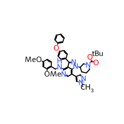 COc1ccc(CNc2ncc(-c3cnn(C)c3)c3c2c(-c2ccc(Oc4ccccc4)cc2)nn3C2CCCN(C(=O)OC(C)(C)C)C2)c(OC)c1